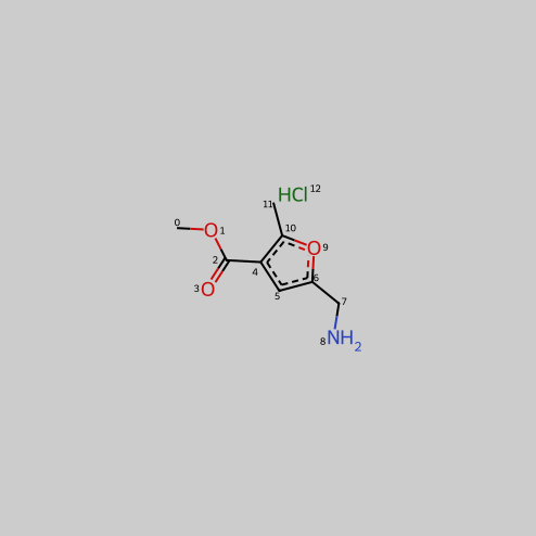 COC(=O)c1cc(CN)oc1C.Cl